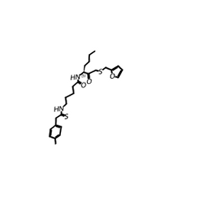 CCCC[C@H](NC(=O)CCCCNC(=S)Cc1ccc(C)cc1)C(=O)CSCc1ccco1